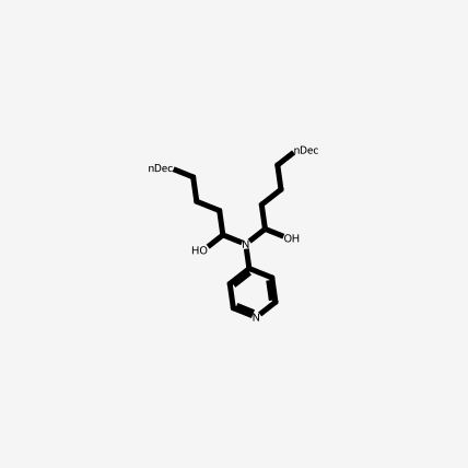 CCCCCCCCCCCCCC(O)N(c1ccncc1)C(O)CCCCCCCCCCCCC